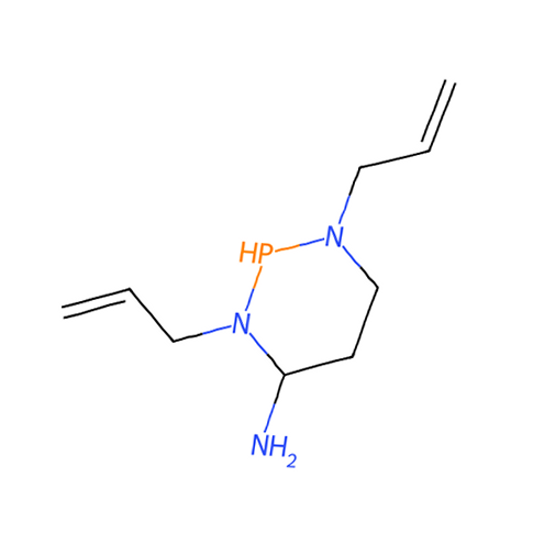 C=CCN1CCC(N)N(CC=C)P1